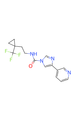 O=C(NCCC1(C(F)(F)F)CC1)n1cnc(-c2cccnc2)c1